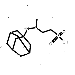 CC(CCS(=O)(=O)O)NC12CC3CC(CC(C3)C1)C2